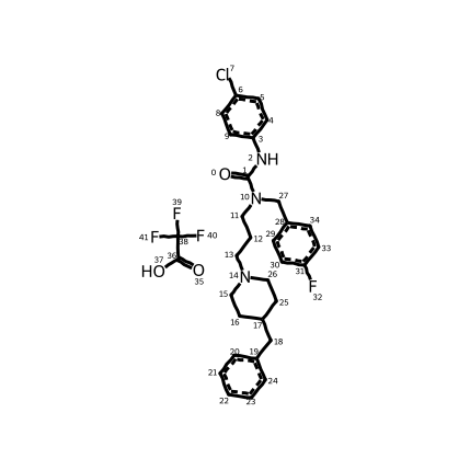 O=C(Nc1ccc(Cl)cc1)N(CCCN1CCC(Cc2ccccc2)CC1)Cc1ccc(F)cc1.O=C(O)C(F)(F)F